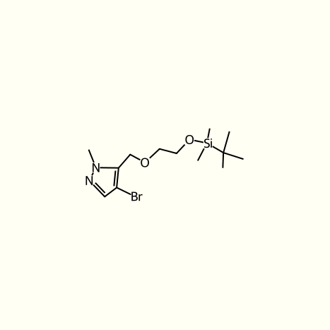 Cn1ncc(Br)c1COCCO[Si](C)(C)C(C)(C)C